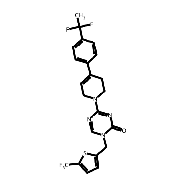 CC(F)(F)c1ccc(C2=CCN(c3ncn(Cc4ccc(C(F)(F)F)s4)c(=O)n3)CC2)cc1